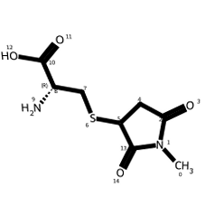 CN1C(=O)CC(SC[C@H](N)C(=O)O)C1=O